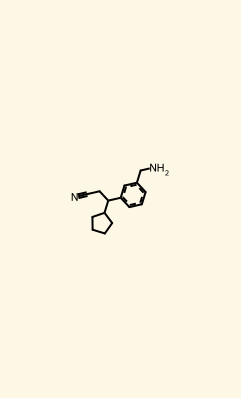 N#CCC(c1cccc(CN)c1)C1CCCC1